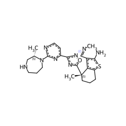 C/N=C\c1c(N)sc2c1[C@@](C)(c1nc(-c3ccnc(N4CCCNC[C@@H]4C)n3)no1)CCC2